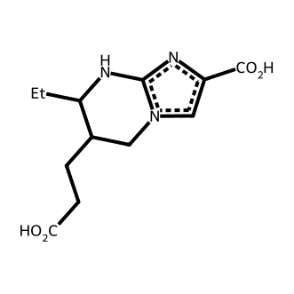 CCC1Nc2nc(C(=O)O)cn2CC1CCC(=O)O